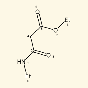 CCNC(=O)CC(=O)OCC